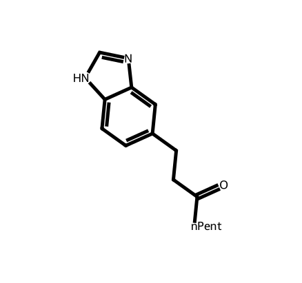 CCCCCC(=O)CCc1ccc2[nH]cnc2c1